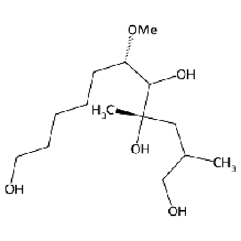 CO[C@@H](CCCCCO)C(O)[C@@](C)(O)CC(C)CO